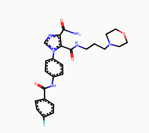 NC(=O)c1ncn(-c2ccc(NC(=O)c3ccc(F)cc3)cc2)c1C(=O)NCCCN1CCOCC1